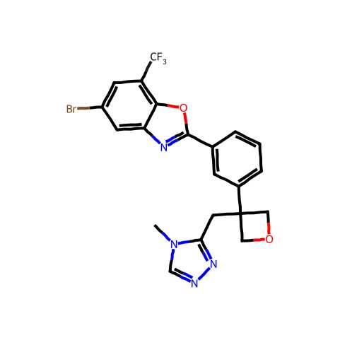 Cn1cnnc1CC1(c2cccc(-c3nc4cc(Br)cc(C(F)(F)F)c4o3)c2)COC1